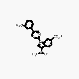 COc1cccc(-c2cnc(-n3cc([S+](C)[O-])c4ccc(C(=O)O)cc43)nc2)c1